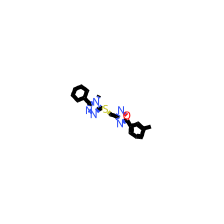 Cc1cccc(-c2nc(CSc3nnc(C4CCCCC4)n3C)no2)c1